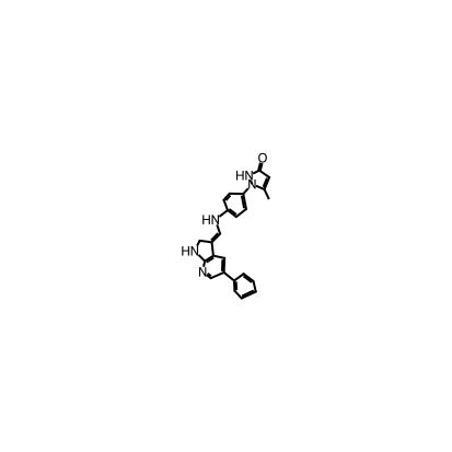 Cc1cc(=O)[nH]n1-c1ccc(NC=C2CNc3ncc(-c4ccccc4)cc32)cc1